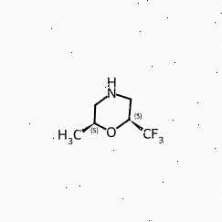 C[C@H]1CNC[C@@H](C(F)(F)F)O1